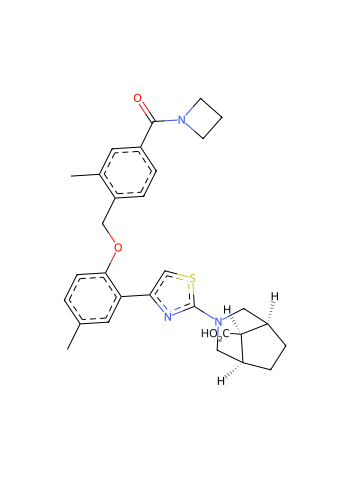 Cc1ccc(OCc2ccc(C(=O)N3CCC3)cc2C)c(-c2csc(N3C[C@H]4CC[C@@H](C3)[C@H]4C(=O)O)n2)c1